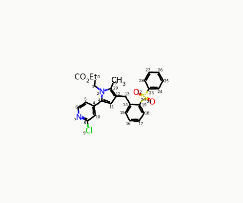 CCOC(=O)Cn1c(-c2ccnc(Cl)c2)cc(Cc2ccccc2S(=O)(=O)c2ccccc2)c1C